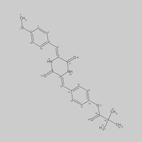 COc1ccc(C=c2[nH]c(=O)c(=Cc3ccc(OC(=O)C(C)(C)C)cc3)[nH]c2=O)cc1